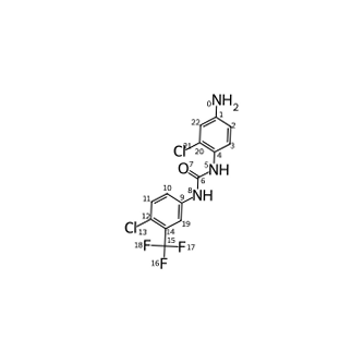 Nc1ccc(NC(=O)Nc2ccc(Cl)c(C(F)(F)F)c2)c(Cl)c1